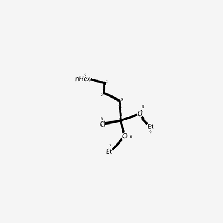 CCCCCCCCCC(Cl)(OCC)OCC